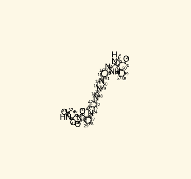 CC(=O)c1c(C)[nH]c(-c2nc3ccc(N4CCN(C5CN(C6CC7CN(c8cccc9c8C(=O)N(C8CCC(=O)NC8=O)C9=O)CC7C6)C5)CC4)cc3[nH]2)c1-c1ccccc1